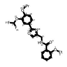 CCOc1ccccc1C(=O)NCc1coc(-c2ccc(OC(C)C)c(OC(F)F)c2)n1